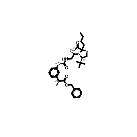 CCCCC1(C(=O)O)SC[C@@H](C(C)(C)C)N1C(=O)CNC(=O)Nc1cccc([C@H](C)C(=O)OCc2ccccc2)c1